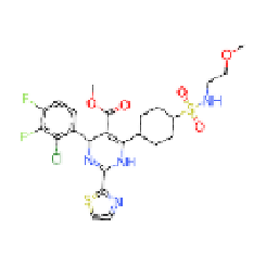 COCCNS(=O)(=O)C1CCC(C2=C(C(=O)OC)C(c3ccc(F)c(F)c3Cl)N=C(c3nccs3)N2)CC1